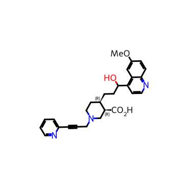 COc1ccc2nccc(C(O)CC[C@@H]3CCN(CC#Cc4ccccn4)C[C@@H]3C(=O)O)c2c1